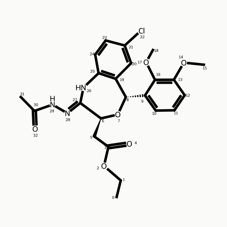 CCOC(=O)C[C@@H]1O[C@@H](c2cccc(OC)c2OC)c2cc(Cl)ccc2NC1=NNC(C)=O